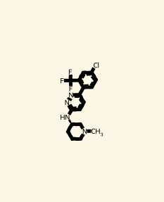 CN1CCC[C@@H](Nc2ccc(-c3ccc(Cl)cc3C(F)(F)F)nn2)C1